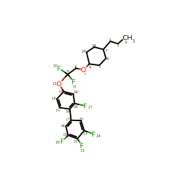 CCCC1CCC(OCC(F)(F)Oc2ccc(-c3cc(F)c(F)c(F)c3)c(F)c2)CC1